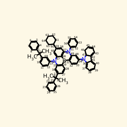 CC(C)(c1ccccc1)c1cccc(N2c3cc(C(C)(C)c4ccccc4)ccc3B3c4ccc(N5c6ccccc6C6=CC=CCC65)cc4N(c4ccccc4)c4cc(C5CCCCC5)cc2c43)c1